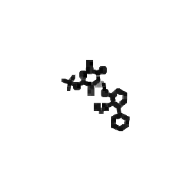 CC(C)(C)OC(=O)N[C@@H](COc1cccc(-c2ccccc2)c1N)C(=O)O